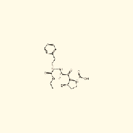 CCOC(=O)[C@H](CCc1ccccc1)N[C@@H](C)C(=O)N1C(=O)CC[C@H]1C(=O)O